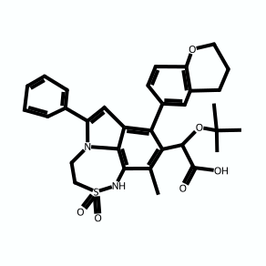 Cc1c(C(OC(C)(C)C)C(=O)O)c(-c2ccc3c(c2)CCCO3)c2cc(-c3ccccc3)n3c2c1NS(=O)(=O)CC3